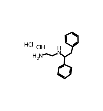 Cl.Cl.NCCNC(Cc1ccccc1)c1ccccc1